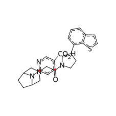 O=C(O)c1ccc(N2C3CCC2CN(CC(=O)N2C=C(c4cccc5ccsc45)CC2)C3)nc1